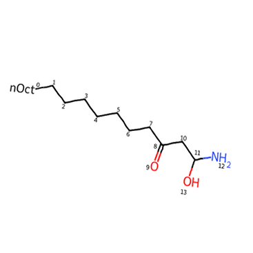 CCCCCCCCCCCCCCCC(=O)CC(N)O